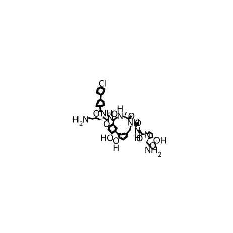 C[C@@H]1NC(=O)[C@@H](N(C)C(=O)[C@H](CCCCN)NC(=O)c2ccc(-c3ccc(Cl)cc3)cc2)c2ccc(O)c(c2)-c2cc(ccc2O)C[C@@H](C(=O)NCC(=O)N2CC[C@H](O)[C@H]2CC(N)=O)NC1=O